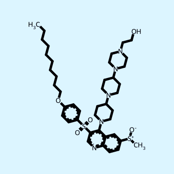 CCCCCCCCCCOc1ccc(S(=O)(=O)c2cnc3ccc([S+](C)[O-])cc3c2N2CCC(N3CCC(N4CCN(CCO)CC4)CC3)CC2)cc1